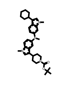 CN(c1ccc2c(c1)c(C1CCN(C(=O)OC(C)(C)C)CC1)cn2C)c1ccc2c(C3CCCCC3)cn(C)c2c1